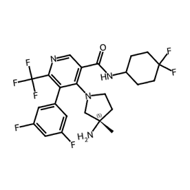 C[C@]1(N)CCN(c2c(C(=O)NC3CCC(F)(F)CC3)cnc(C(F)(F)F)c2-c2cc(F)cc(F)c2)C1